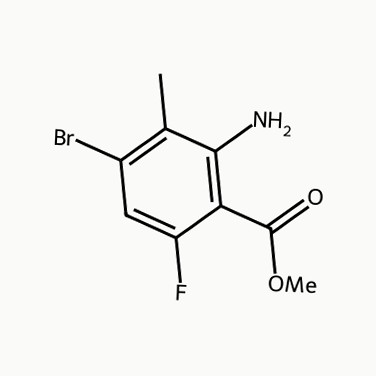 COC(=O)c1c(F)cc(Br)c(C)c1N